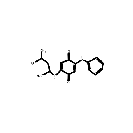 CC(C)CC(C)NC1=CC(=O)C(Nc2ccccc2)=CC1=O